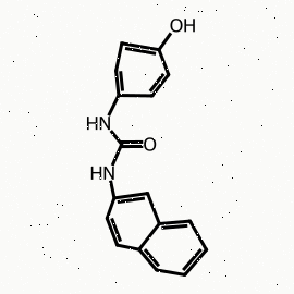 O=C(Nc1ccc(O)cc1)Nc1ccc2ccccc2c1